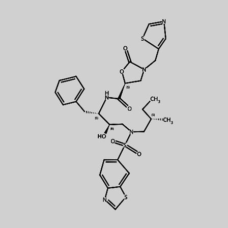 CC[C@H](C)CN(C[C@@H](O)[C@H](Cc1ccccc1)NC(=O)[C@@H]1CN(Cc2cncs2)C(=O)O1)S(=O)(=O)c1ccc2ncsc2c1